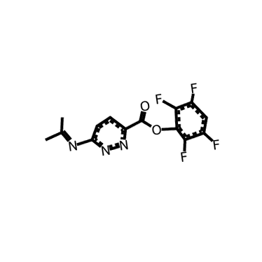 CC(C)=Nc1ccc(C(=O)Oc2c(F)c(F)cc(F)c2F)nn1